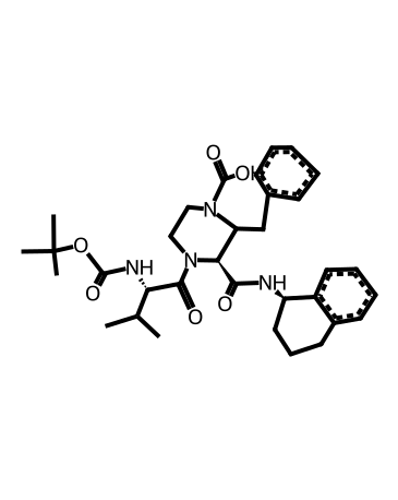 CC(C)[C@H](NC(=O)OC(C)(C)C)C(=O)N1CCN(C(=O)O)C(Cc2ccccc2)[C@H]1C(=O)N[C@@H]1CCCc2ccccc21